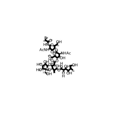 CC(=O)N[C@H]1C(O)[C@H](O[C@H](O)[C@H](O)C(O[C@H]2O[C@H](CO)[C@@H](O)C(O)C2O)[C@H](O)C(C)CO[C@@H](O)[C@H](O)C(O)[C@H](O)C(C)CO)C(CO)O[C@H]1O[C@@H]1C(CO)O[C@@H](NC(=O)CBr)[C@@H](NC(C)=O)C1O